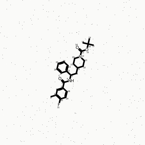 Cc1cc(C(=O)NC(CC2CCN(C(=O)OC(C)(C)C)CC2)c2ccccc2)ccc1F